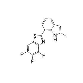 Cc1cc2cccc(-c3nc4c(F)c(F)c(F)cc4s3)c2[nH]1